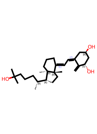 C=C1/C(=C\C=C2/CCC[C@]3(C)[C@@H]([C@H](C)CCCC(C)(C)O)CC[C@@]23C)C[C@@H](O)C[C@@H]1O